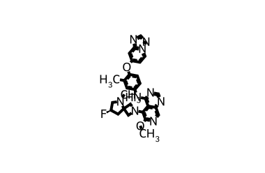 COc1ncc2ncnc(Nc3ccc(Oc4ccn5ncnc5c4)c(C)c3)c2c1N1CC2(C[C@@H](F)CN2C)C1